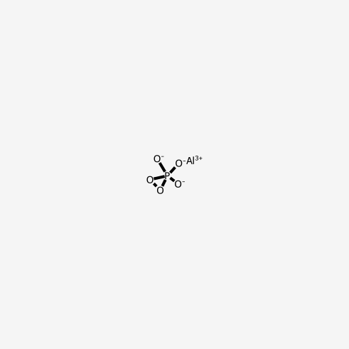 [Al+3].[O-]P1([O-])([O-])OO1